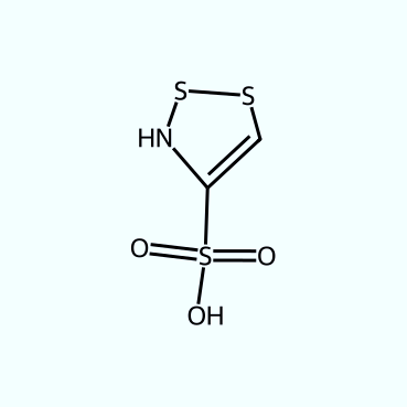 O=S(=O)(O)C1=CSSN1